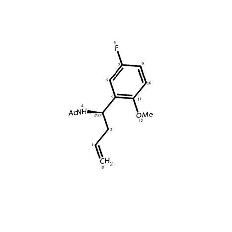 C=CC[C@@H](NC(C)=O)c1cc(F)ccc1OC